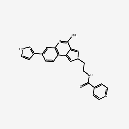 Nc1nc2cc(-c3cc[nH]n3)ccc2c2cn(CCNC(=O)c3ccncc3)nc12